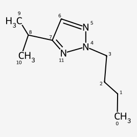 CCCCn1ncc(C(C)C)n1